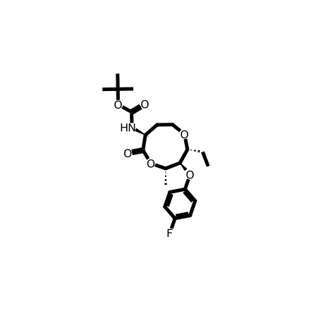 CC[C@H]1OCC[C@H](NC(=O)OC(C)(C)C)C(=O)O[C@@H](C)[C@@H]1Oc1ccc(F)cc1